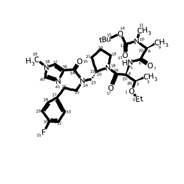 CCO[C@H](C)[C@H](NC(=O)[C@H](C)N(C)C(=O)OC(C)(C)C)C(=O)N1CCC[C@H]1CN(CCc1ccc(F)cc1)C(=O)c1cn(C)cn1